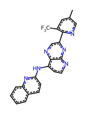 Cc1cnc(-c2cnc3c(Nc4ccc5ccccc5n4)ccnc3n2)c(C(F)(F)F)c1